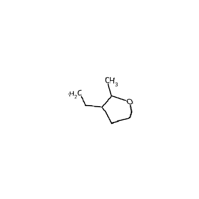 [CH2]CC1CCOC1C